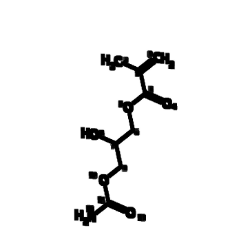 C=C(C)C(=O)OCC(O)COC(N)=O